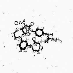 CC(=O)O[C@@H](C(=O)Nc1ccc(NC(=N)N)cc1)[C@H]1OCCN(c2cccc(N3CCOCC3=O)c2)C1=O